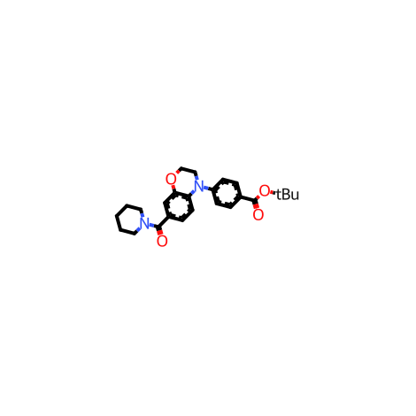 CC(C)(C)OC(=O)c1ccc(N2CCOc3cc(C(=O)N4CCCCC4)ccc32)cc1